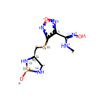 CN/C(=N\O)c1nonc1SC[C@H]1CN[S+]([O-])N1